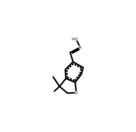 CC1(C)COc2ccc(C=NO)cc21